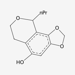 CCCC1OCCc2c(O)cc3c(c21)OCO3